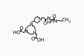 CCCNC(=O)CNC(=O)CN1CCC(CN2CCN(CC(=O)O)CCN(CC(=O)O)CC2)CC1